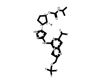 CC(C)NC(=O)O[C@H]1CC[C@@H](c2cc(Nc3nc(C(F)F)cc4nc(COC(F)(F)F)cn34)n[nH]2)[C@H]1F